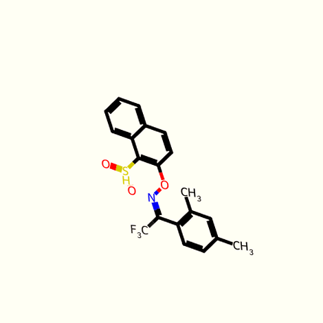 Cc1ccc(C(=NOc2ccc3ccccc3c2[SH](=O)=O)C(F)(F)F)c(C)c1